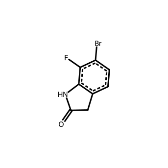 O=C1Cc2ccc(Br)c(F)c2N1